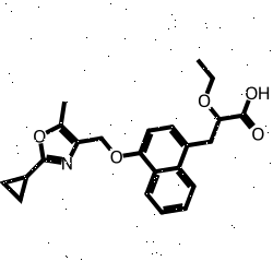 CCOC(Cc1ccc(OCc2nc(C3CC3)oc2C)c2ccccc12)C(=O)O